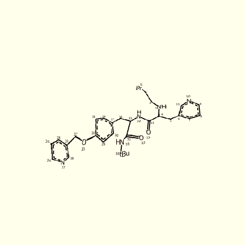 CC(C)CCNC(Cc1cccnc1)C(=O)NC(Cc1ccc(OCc2cccnc2)cc1)C(=O)NC(C)(C)C